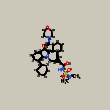 CN(C)S(=O)(=O)NC(=O)C1=C2Cn3c(cc4cccc(C5CCCCC5)c43)C3C(=C21)C=CC[C@H]3C(=O)N1CCOCC1